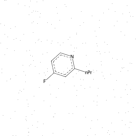 [CH2]CCc1cc(F)ccn1